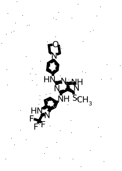 CSc1n[nH]c2nc(Nc3ccc(N4CCOCC4)cc3)nc(Nc3ccc4[nH]c(C(F)(F)F)nc4c3)c12